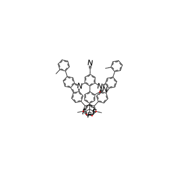 Cc1ccccc1-c1ccc2c3ccc(-c4ccccc4C)cc3n(-c3cc(C#N)cc(-n4c5cc(-c6ccccc6C)ccc5c5ccc(-c6ccccc6C)cc54)c3-c3ccc(C(F)(F)F)cc3C#N)c2c1